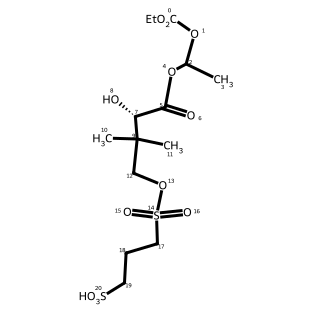 CCOC(=O)OC(C)OC(=O)[C@@H](O)C(C)(C)COS(=O)(=O)CCCS(=O)(=O)O